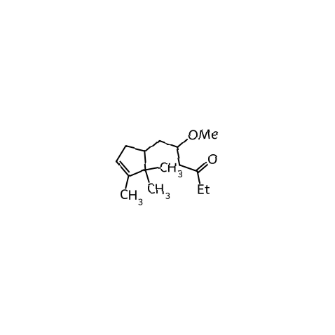 CCC(=O)CC(CC1CC=C(C)C1(C)C)OC